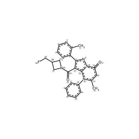 Cc1nccnc1-c1nn2c(=O)cc(C)n(-c3ccccc3)c2c1C(=O)N1CC(CF)C1